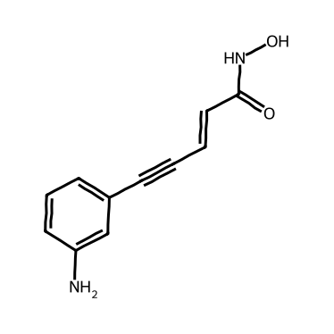 Nc1cccc(C#C/C=C/C(=O)NO)c1